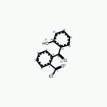 CCC(=O)c1ccccc1C(=O)c1ccccc1O